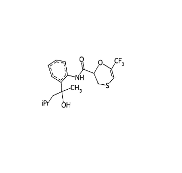 CC(C)CC(C)(O)c1ccccc1NC(=O)C1CS[C]=C(C(F)(F)F)O1